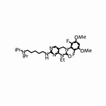 CCN1C(=O)N(c2c(F)c(OC)cc(OC)c2F)Cc2cnc(NCCCCCN(C(C)C)C(C)C)nc21